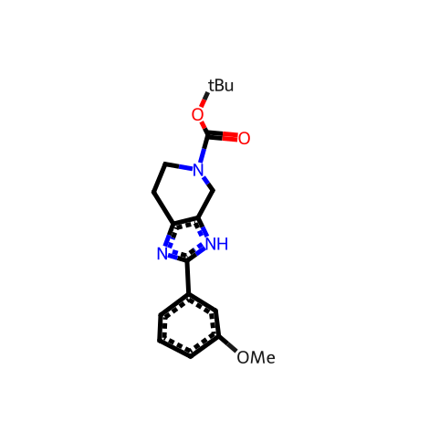 COc1cccc(-c2nc3c([nH]2)CN(C(=O)OC(C)(C)C)CC3)c1